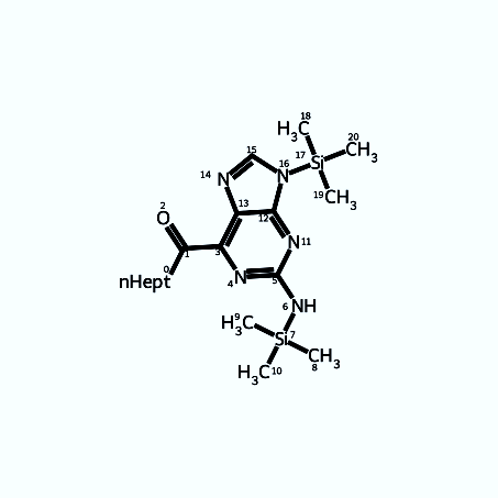 CCCCCCCC(=O)c1nc(N[Si](C)(C)C)nc2c1ncn2[Si](C)(C)C